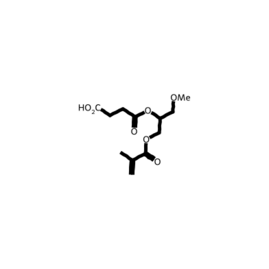 C=C(C)C(=O)OCC(COC)OC(=O)CCC(=O)O